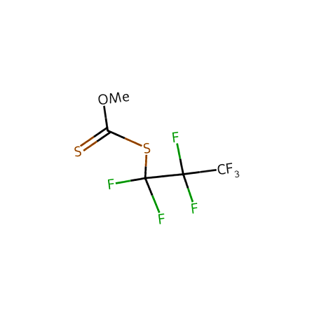 COC(=S)SC(F)(F)C(F)(F)C(F)(F)F